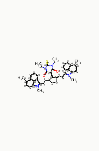 CCN1C(=O)C(=C2/C(=C/C=c3\c4cccc5c(C)ccc(c54)n3C)CC/C2=C\C=c2/c3cccc4c(C)ccc(c43)n2C)C(=O)N(CC)C1=S